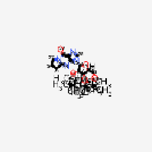 CC(C)(C)[Si](C)(C)O[C@@H]1[C@@H]2O[Si](C(C)(C)C)(C(C)(C)C)OC[C@H]2O[C@H]1n1cnc2c(=O)n3c(nc21)CCC3